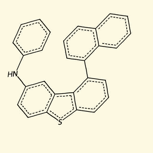 c1ccc(Nc2ccc3sc4cccc(-c5cccc6ccccc56)c4c3c2)cc1